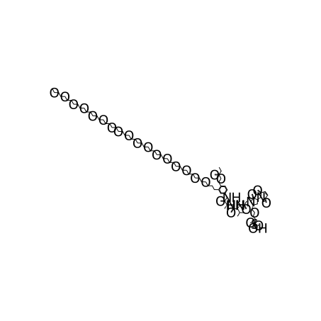 CCC(=O)OCc1ccc(NC(=O)[C@H](C)NC(=O)[C@@H](NC(=O)CN2C(=O)[C@@H](N3C(=O)C=CC3=O)C[C@H]2COCCS(=O)(=O)O)C(C)C)cc1CCCOCCOCCOCCOCCOCCOCCOCCOCCOCCOCOCCOCCOCCOCCOCCOCCOC